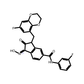 O=C(Nc1cccc(F)c1)c1ccc2c(c1)C(Cc1cc(F)cc3c1OCCO3)C(=O)/C2=N\O